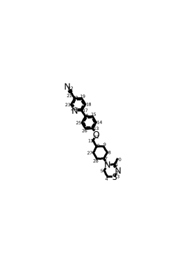 CC1=NSCCN1C1CCC(COc2ccc(-c3ccc(C#N)cn3)cc2)CC1